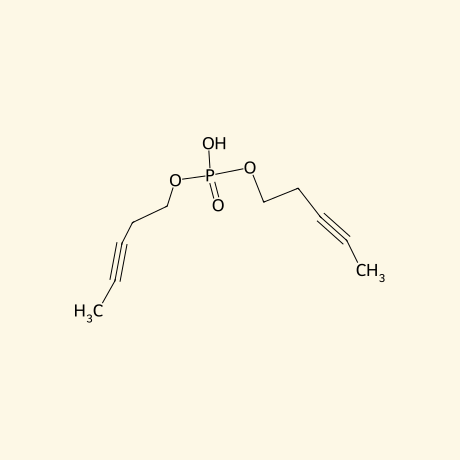 CC#CCCOP(=O)(O)OCCC#CC